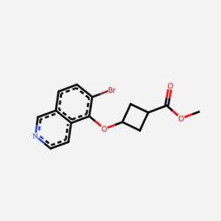 COC(=O)C1CC(Oc2c(Br)ccc3cnccc23)C1